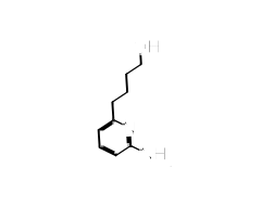 Nc1cccc(CCCCO)n1